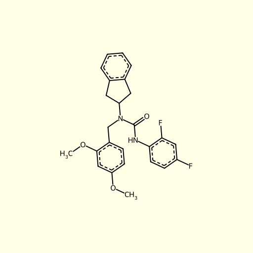 COc1ccc(CN(C(=O)Nc2ccc(F)cc2F)C2Cc3ccccc3C2)c(OC)c1